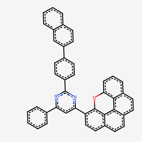 c1ccc(-c2cc(-c3ccc4ccc5ccc6cccc7c6c5c4c3O7)nc(-c3ccc(-c4ccc5ccccc5c4)cc3)n2)cc1